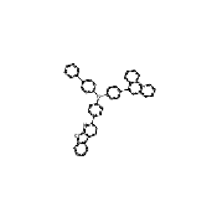 c1ccc(-c2ccc(N(c3ccc(-c4ccc5c(n4)oc4ccccc45)cc3)c3ccc(-c4cc5ccccc5c5ccccc45)cc3)cc2)cc1